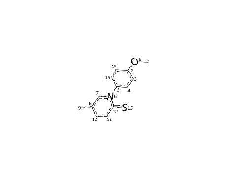 COc1ccc(-n2cc(C)ccc2=S)cc1